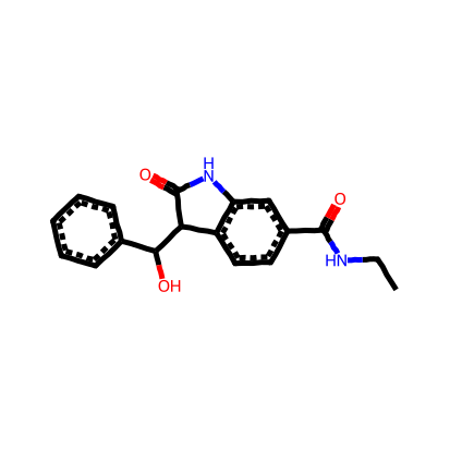 CCNC(=O)c1ccc2c(c1)NC(=O)C2C(O)c1ccccc1